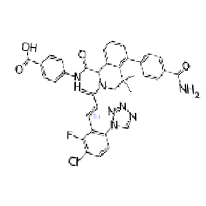 C=C(/C=C/c1c(-n2cnnn2)ccc(Cl)c1F)N1CC(C)(C)c2c(-c3ccc(C(N)=O)cc3)cccc2C1C(=O)Nc1ccc(C(=O)O)cc1